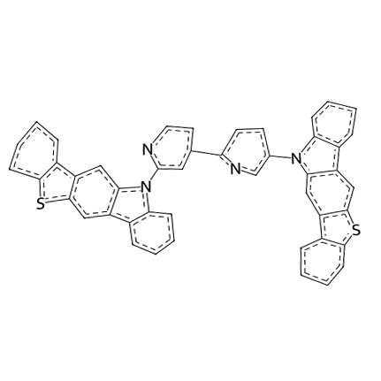 c1ccc2c(c1)sc1cc3c4ccccc4n(-c4ccc(-c5ccnc(-n6c7ccccc7c7cc8sc9ccccc9c8cc76)c5)nc4)c3cc12